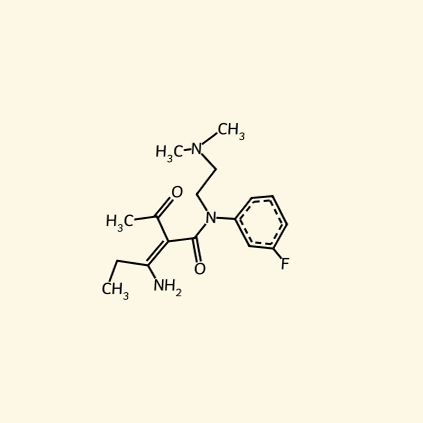 CCC(N)=C(C(C)=O)C(=O)N(CCN(C)C)c1cccc(F)c1